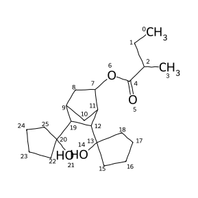 CCC(C)C(=O)OC1CC2CC1C(C1(O)CCCC1)C2C1(O)CCCC1